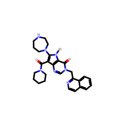 CCn1c(N2CCCNCC2)c(C(=O)N2CCCCC2)c2ncn(Cc3nccc4ccccc34)c(=O)c21